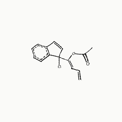 C=CC=C(OC(C)=O)C1(Cl)C=Cc2ccccc21